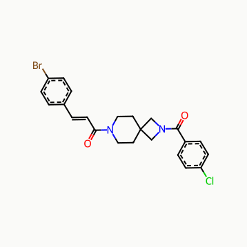 O=C(C=Cc1ccc(Br)cc1)N1CCC2(CC1)CN(C(=O)c1ccc(Cl)cc1)C2